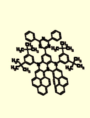 CC(C)(C)c1cc(N2c3cc(-c4nc(-c5ccccc5)nc(-c5ccccc5)n4)cc4c3B(c3c2cc2ccc5cccc6ccc3c2c56)c2c(cc3ccc5cccc6ccc2c3c56)N4c2cc(C(C)(C)C)cc(C(C)(C)C)c2)cc(C(C)(C)C)c1